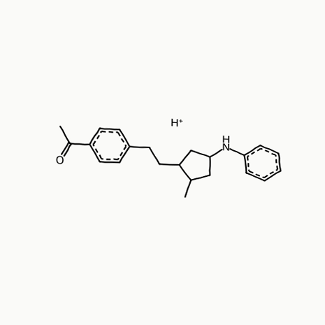 CC(=O)c1ccc(CCC2CC(Nc3ccccc3)CC2C)cc1.[H+]